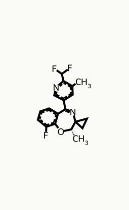 Cc1cc(C2=NC3(CC3)[C@H](C)Oc3c(F)cccc32)cnc1C(F)F